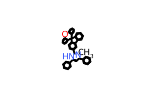 CN1C(c2ccccc2)C=C(c2ccccc2)NC1c1ccc2c(c1)-c1ccccc1C21c2ccccc2Oc2ccccc21